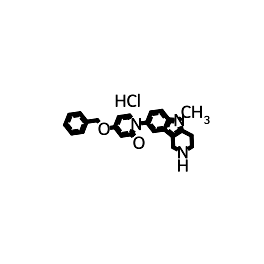 Cl.Cn1c2c(c3cc(-n4ccc(OCc5ccccc5)cc4=O)ccc31)CNCC2